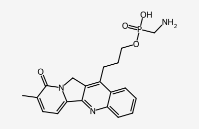 Cc1ccc2n(c1=O)Cc1c-2nc2ccccc2c1CCCOP(=O)(O)CN